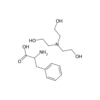 NC(Cc1ccccc1)C(=O)O.OCCN(CCO)CCO